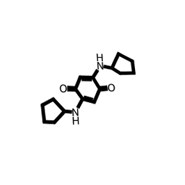 O=C1C=C(NC2CCCC2)C(=O)C=C1NC1CCCC1